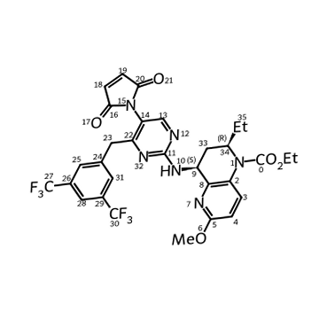 CCOC(=O)N1c2ccc(OC)nc2[C@@H](Nc2ncc(N3C(=O)C=CC3=O)c(Cc3cc(C(F)(F)F)cc(C(F)(F)F)c3)n2)C[C@H]1CC